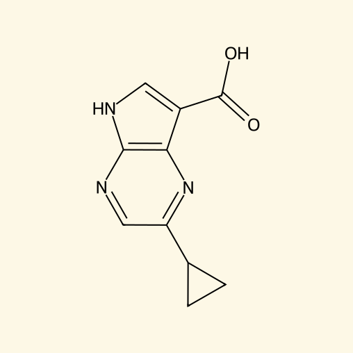 O=C(O)c1c[nH]c2ncc(C3CC3)nc12